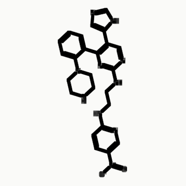 O=[N+]([O-])c1ccc(NCCNc2ncc(-c3cnc[nH]3)c(-c3ccccc3N3CCNCC3)n2)nc1